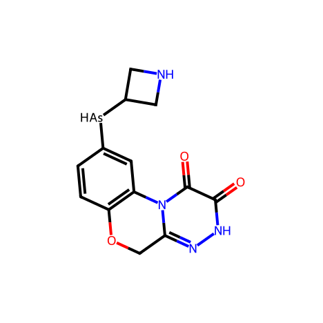 O=c1[nH]nc2n(c1=O)-c1cc([AsH]C3CNC3)ccc1OC2